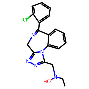 CCN(O)Cc1nnc2n1-c1ccccc1C(c1ccccc1Cl)=NC2